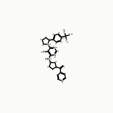 C=C(c1ccncc1)C1CCC(Nc2ncnc(N3CCCC3c3ccc(C(F)(F)F)cc3)c2F)C1